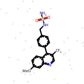 COc1ccc2c(-c3ccc(CNS(N)(=O)=O)cc3)c(C(F)(F)F)cnc2c1